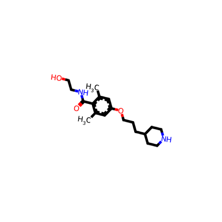 Cc1cc(OCCCC2CCNCC2)cc(C)c1C(=O)NCCO